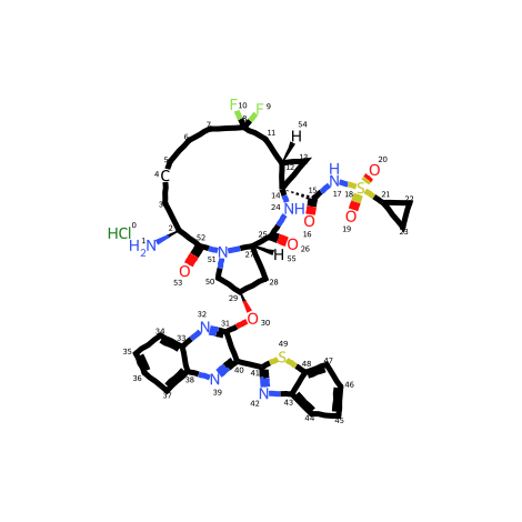 Cl.N[C@H]1CCCCCC(F)(F)C[C@@H]2C[C@@]2(C(=O)NS(=O)(=O)C2CC2)NC(=O)[C@@H]2C[C@@H](Oc3nc4ccccc4nc3-c3nc4ccccc4s3)CN2C1=O